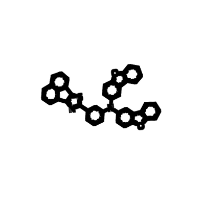 c1cc(-c2nc3c(s2)-c2cccc4cccc-3c24)cc(N(c2ccc3oc4ccccc4c3c2)c2ccc3oc4ccccc4c3c2)c1